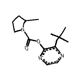 CC1CCCN1C(=O)Oc1nccnc1C(C)(C)C